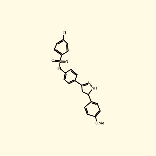 COc1ccc(C2CC(c3ccc(NS(=O)(=O)c4ccc(Cl)cc4)cc3)=NN2)cc1